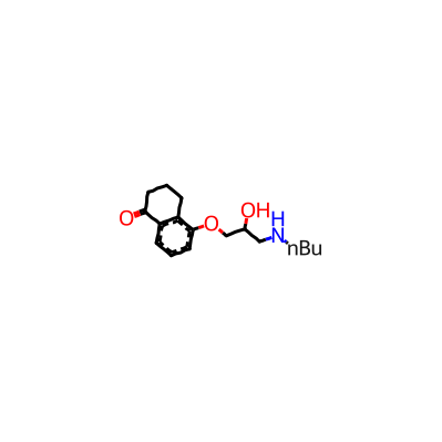 CCCCNCC(O)COc1cccc2c1CCCC2=O